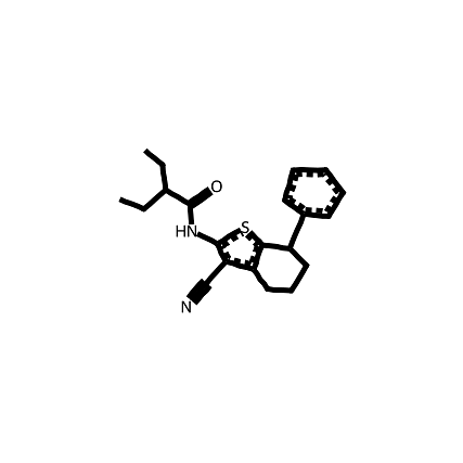 CCC(CC)C(=O)Nc1sc2c(c1C#N)CCCC2c1ccccc1